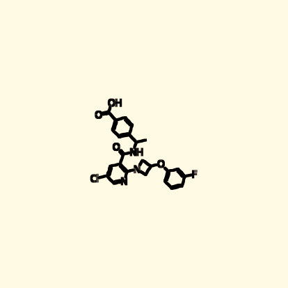 CC(NC(=O)c1cc(Cl)cnc1N1CC(Oc2cccc(F)c2)C1)c1ccc(C(=O)O)cc1